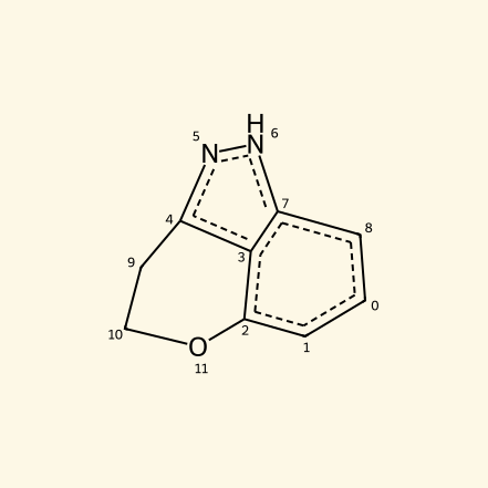 c1cc2c3c(n[nH]c3c1)CCO2